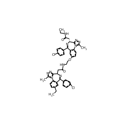 CCNC(=O)C[C@H]1N=C(c2ccc(Cl)cc2)c2cc(OCCNC(=O)CC3N=C(c4ccc(Cl)cc4)c4cc(CC)ccc4-n4c(C)nnc43)ccc2-n2c(C)nnc21